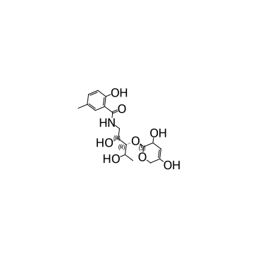 Cc1ccc(O)c(C(=O)NC[C@@H](O)[C@H](O[C@@H]2OCC(O)=CC2O)C(C)O)c1